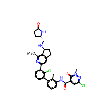 COc1nc(-c2cccc(-c3cccc(NC(=O)c4cc(Cl)nn(C)c4=O)c3C)c2Cl)cc2c1[C@@H](NC[C@@H]1CCC(=O)N1)CC2